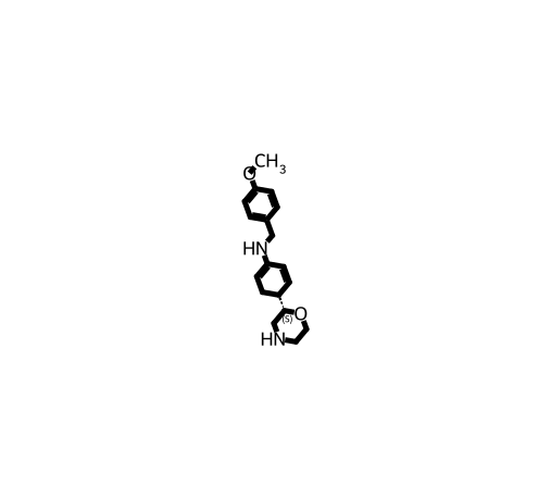 COc1ccc(CNC2=CCC([C@H]3CNCCO3)C=C2)cc1